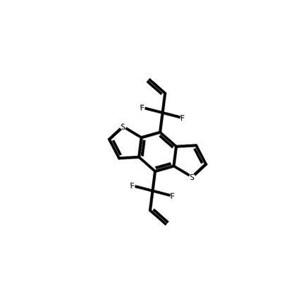 C=CC(F)(F)c1c2ccsc2c(C(F)(F)C=C)c2ccsc12